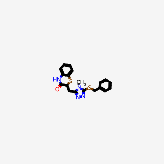 Cn1c(CC2Sc3ccccc3NC2=O)nnc1SCc1ccccc1